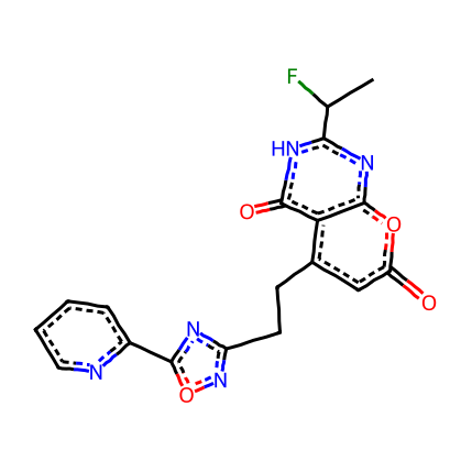 CC(F)c1nc2oc(=O)cc(CCc3noc(-c4ccccn4)n3)c2c(=O)[nH]1